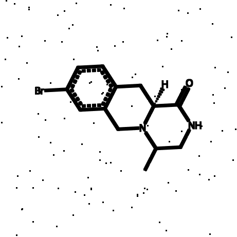 CC1CNC(=O)[C@@H]2Cc3ccc(Br)cc3CN12